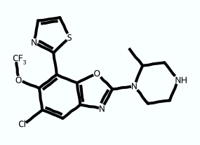 CC1CNCCN1c1nc2cc(Cl)c(OC(F)(F)F)c(-c3nccs3)c2o1